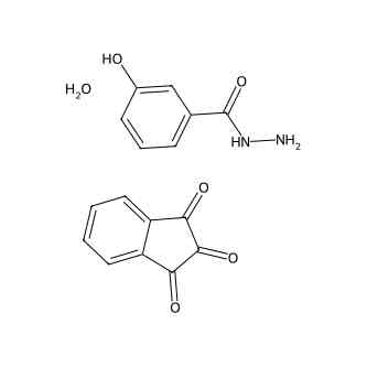 NNC(=O)c1cccc(O)c1.O.O=c1c(=O)c2ccccc2c1=O